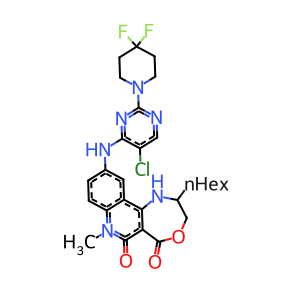 CCCCCCC1COC(=O)c2c(c3cc(Nc4nc(N5CCC(F)(F)CC5)ncc4Cl)ccc3n(C)c2=O)N1